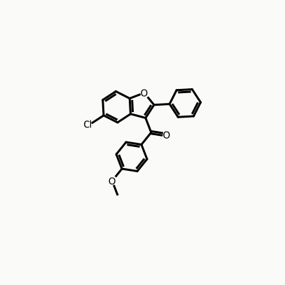 COc1ccc(C(=O)c2c(-c3ccccc3)oc3ccc(Cl)cc23)cc1